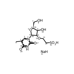 Cc1cn([C@H]2O[C@@H](CO)C(O)C2OCCS(=O)(=O)O)c(=O)[nH]c1=O.[NaH]